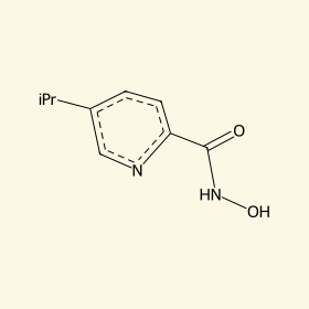 CC(C)c1ccc(C(=O)NO)nc1